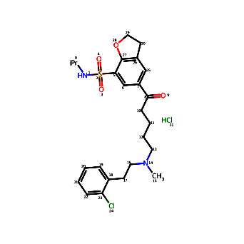 CC(C)NS(=O)(=O)c1cc(C(=O)CCCCN(C)CCc2ccccc2Cl)cc2c1OCC2.Cl